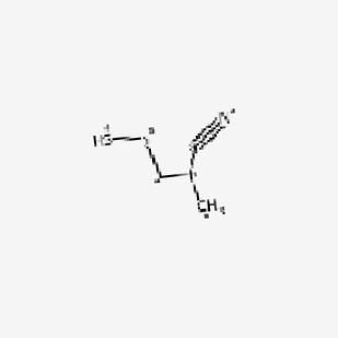 CC(C#N)CSS